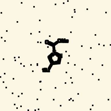 COC(=O)n1cc(C(C)(C)C)cn1